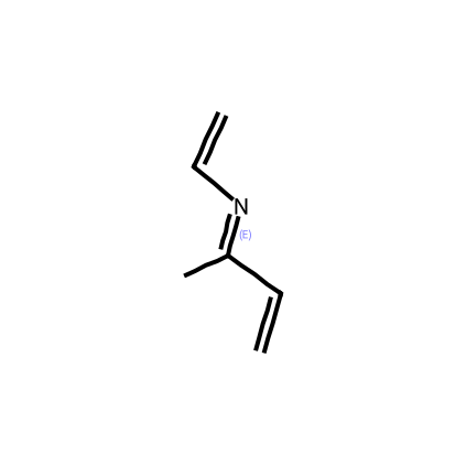 C=C/N=C(\C)C=C